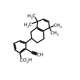 C#Cc1c(C(=O)O)cccc1C1CCC2=C(C1)C(C)(C)C=CC2(C)C